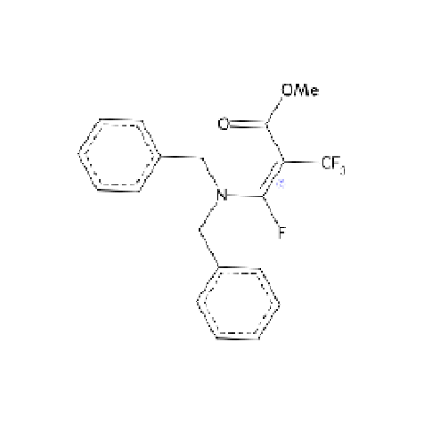 COC(=O)/C(=C(/F)N(Cc1ccccc1)Cc1ccccc1)C(F)(F)F